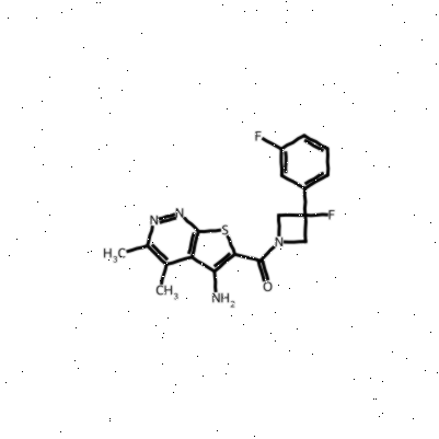 Cc1nnc2sc(C(=O)N3CC(F)(c4cccc(F)c4)C3)c(N)c2c1C